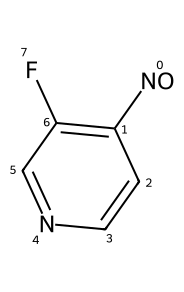 O=Nc1ccncc1F